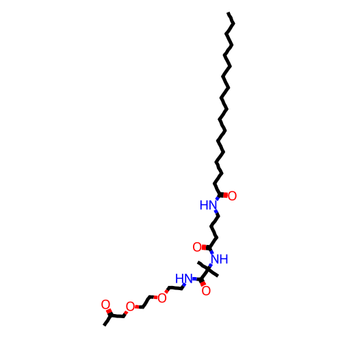 CCCCCCCCCCCCCCCCCC(=O)NCCCC(=O)NC(C)(C)C(=O)NCCOCCOCC(C)=O